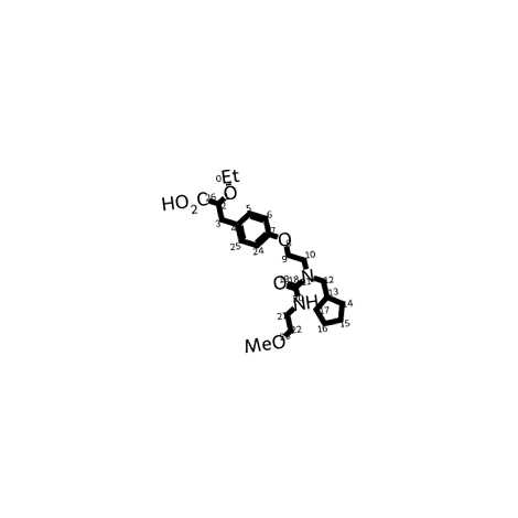 CCOC(Cc1ccc(OCCN(CC2CCCC2)C(=O)NCCOC)cc1)C(=O)O